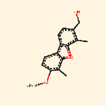 CCCCCOc1ccc2c(oc3c(C)c(CO)ccc32)c1C